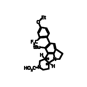 CCOc1ccc(-c2cc3c4c(c2C(C)(C)C)[C@@H]2CN(C(=O)O)CC[C@@H]2N4CC3)c(C(F)(F)F)c1